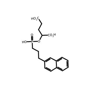 O=C(O)CCC(OP(=O)(O)CCCc1ccc2ccccc2c1)C(=O)O